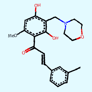 COc1cc(O)c(CN2CCOCC2)c(O)c1C(=O)/C=C/c1cccc(C)c1